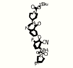 CC(C)(C)OC(=O)N1CCC(n2cnc3ccc(Oc4c(F)ccc(NS(=O)(=O)N5CC[C@@H](F)C5)c4C#N)cc3c2=O)CC1